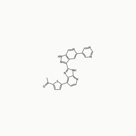 CC(=O)c1ccc(-c2ccnc3[nH]c(-c4n[nH]c5cnc(-c6cncnc6)cc45)nc23)s1